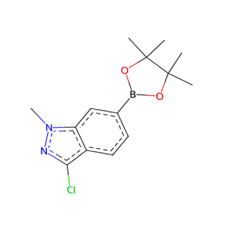 Cn1nc(Cl)c2ccc(B3OC(C)(C)C(C)(C)O3)cc21